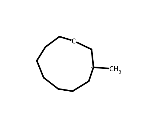 C[C]1CCCCCCCCC1